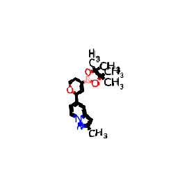 Cc1cc2cc(C3C=C(B4OC(C)(C)C(C)(C)O4)CCO3)ccn2n1